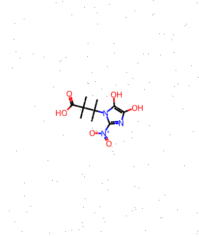 CC(C)(C(=O)O)C(C)(C)n1c([N+](=O)[O-])nc(O)c1O